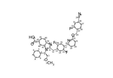 COC[C@@H](c1ccccc1)n1c(Cc2cc(F)c(-c3cccc(OCc4ccc(C#N)cc4F)n3)cc2F)nc2ccc(C(=O)O)cc21